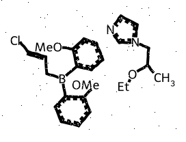 CCOC(C)Cn1ccnc1.COc1ccccc1B(CC=CCl)c1ccccc1OC